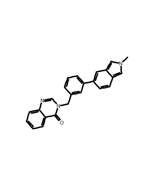 Cn1cc2ccc(-c3cccc(Cn4cnc5ccccc5c4=O)c3)cc2c1